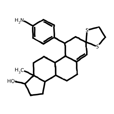 CC12CCC3C(CCC4=CC5(CC(c6ccc(N)cc6)C43)SCCS5)C1CCC2O